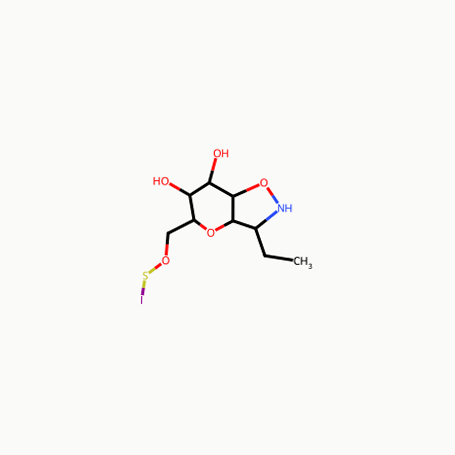 CCC1NOC2C(O)C(O)C(COSI)OC12